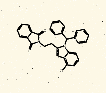 O=C1c2ccccc2C(=O)N1CCc1cc2c(Cl)cccc2n1C(c1ccccc1)c1ccccc1